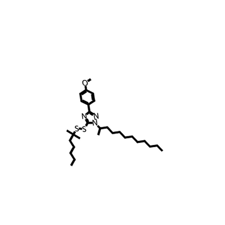 CCCCCCCCCCC(C)n1nc(-c2ccc(OC)cc2)nc1SSC(C)(C)CCCCC